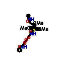 COc1ccc(C(SCCC(=O)NCCCOCCOCCOCCCNC(=O)C2(F)C#CCCCCC2)(c2ccc(OC)cc2)c2ccc(OC)c(C#CCCC(=O)NCc3ccccc3)c2)cc1